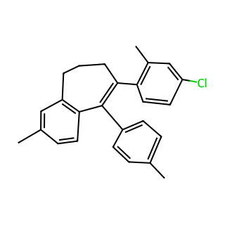 Cc1ccc(C2=C(c3ccc(Cl)cc3C)CCCc3cc(C)ccc32)cc1